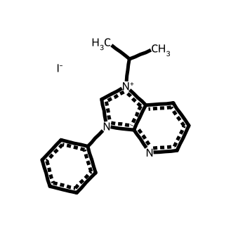 CC(C)[n+]1cn(-c2ccccc2)c2ncccc21.[I-]